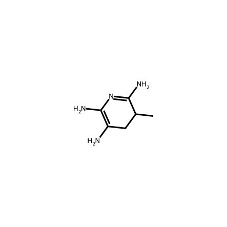 CC1CC(N)=C(N)N=C1N